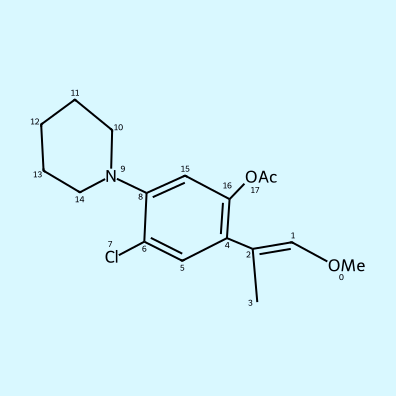 COC=C(C)c1cc(Cl)c(N2CCCCC2)cc1OC(C)=O